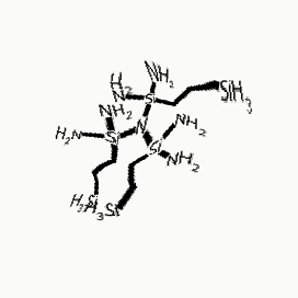 N[Si](N)(CC[SiH3])N([Si](N)(N)CC[SiH3])[Si](N)(N)CC[SiH3]